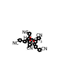 Cc1cc(C)nc(-c2c(-n3c4ccc(-c5cccc(C#N)c5)cc4c4cc(-c5cccc(C#N)c5)ccc43)cc(C#N)cc2-n2c3ccc(-c4cccc(C#N)c4)cc3c3cc(-c4cccc(C#N)c4)ccc32)n1